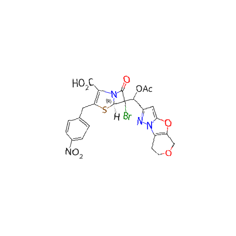 CC(=O)OC(c1cc2oc3c(n2n1)CCOC3)C1(Br)C(=O)N2C(C(=O)O)=C(Cc3ccc([N+](=O)[O-])cc3)S[C@@H]21